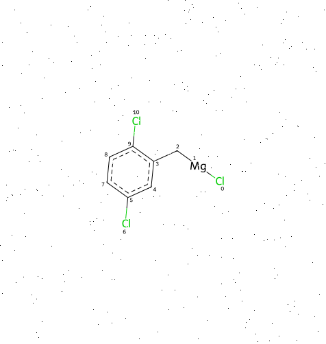 [Cl][Mg][CH2]c1cc(Cl)ccc1Cl